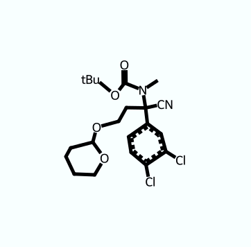 CN(C(=O)OC(C)(C)C)C(C#N)(CCOC1CCCCO1)c1ccc(Cl)c(Cl)c1